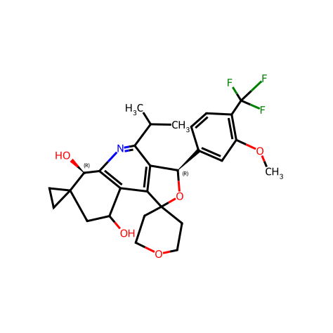 COc1cc([C@H]2OC3(CCOCC3)c3c4c(nc(C(C)C)c32)[C@H](O)C2(CC2)CC4O)ccc1C(F)(F)F